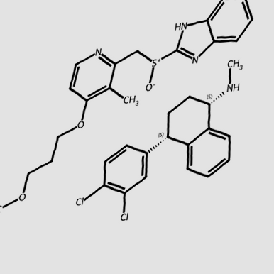 CN[C@H]1CC[C@@H](c2ccc(Cl)c(Cl)c2)c2ccccc21.COCCCOc1ccnc(C[S+]([O-])c2nc3ccccc3[nH]2)c1C